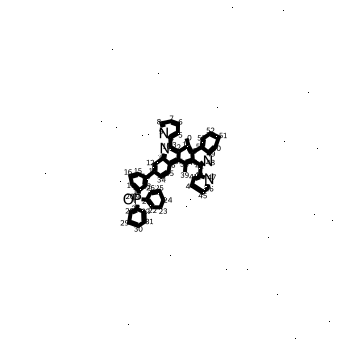 Cc1c2c(-c3ccccn3)nc3cc(-c4cccc(P(=O)(C5=CCCC=C5)c5ccccc5)c4)ccc3c2c(C)c2c(-c3ccccn3)nc3ccccc3c12